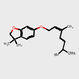 COC(CCC(C)=CCOc1ccc2c(c1)OCC2(C)C)C(C)(C)C